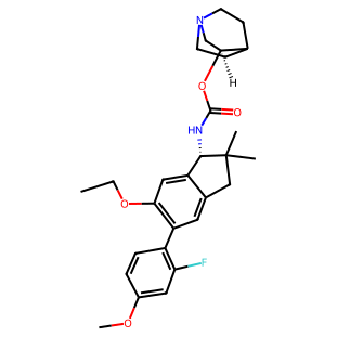 CCOc1cc2c(cc1-c1ccc(OC)cc1F)CC(C)(C)[C@H]2NC(=O)O[C@H]1CN2CCC1CC2